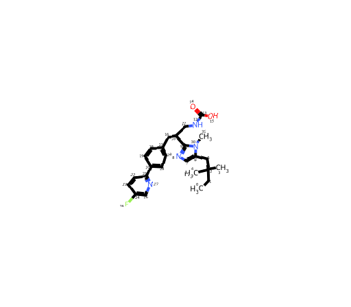 CCC(C)(C)Cc1cnc(C(CNC(=O)O)Cc2ccc(-c3ccc(F)cn3)cc2)n1C